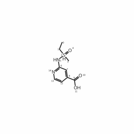 CC[SH](C)(=O)Nc1cc(C(=O)O)ccn1